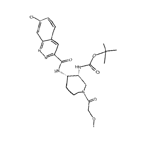 COCC(=O)N1CC[C@H](NC(=O)c2cc3ccc(Cl)cc3nn2)[C@H](NC(=O)OC(C)(C)C)C1